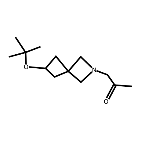 CC(=O)CN1CC2(CC(OC(C)(C)C)C2)C1